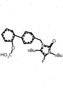 CCCCc1c(F)n(CCCC)c(=O)n1Cc1ccc(-c2ccccc2OC(=O)O)cc1